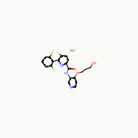 Cl.O=C(Nc1cnccc1OCCCO)c1ccc(F)c(-c2c(F)cccc2F)n1